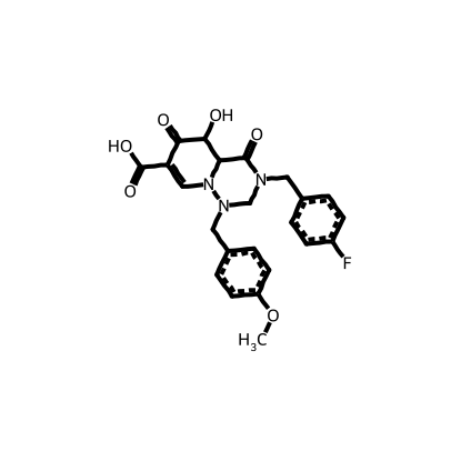 COc1ccc(CN2CN(Cc3ccc(F)cc3)C(=O)C3C(O)C(=O)C(C(=O)O)=CN32)cc1